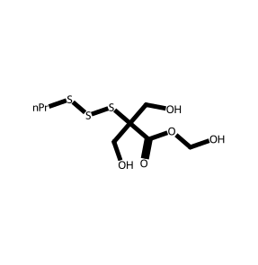 CCCSSSC(CO)(CO)C(=O)OCO